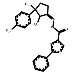 Cc1ccc(C2(C)CCC(=NNC(=O)c3csc(-c4ccccc4)n3)C2C)cc1